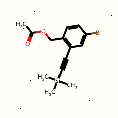 CC(=O)OCc1ccc(Br)cc1C#C[Si](C)(C)C